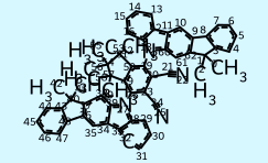 CC1(C)c2ccccc2-c2cc3c4ccccc4n(-c4c(C#N)c(C#N)c(-n5c6ccccc6c6cc7c(cc65)C(C)(C)c5ccccc5-7)c5c4C(C)(C)C(C)(C)C5(C)C)c3cc21